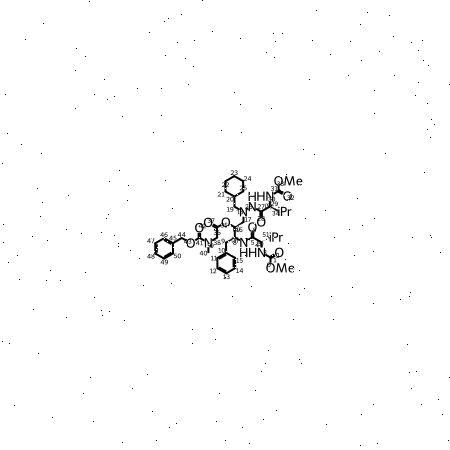 COC(=O)N[C@H](C(=O)N[C@@H](Cc1ccccc1)[C@H](CN(CC1CCCCC1)NC(=O)[C@@H](NC(=O)OC)C(C)C)OC(=O)CN(C)C(=O)OCc1ccccc1)C(C)C